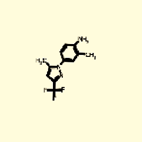 Cc1cc(-n2nc(C(F)(F)F)cc2C)ccc1N